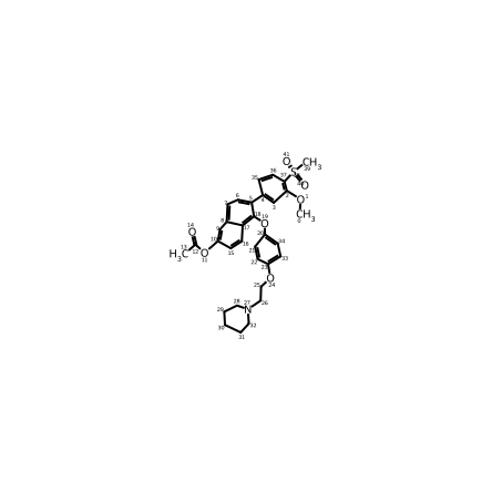 COc1cc(-c2ccc3cc(OC(C)=O)ccc3c2Oc2ccc(OCCN3CCCCC3)cc2)ccc1S(C)(=O)=O